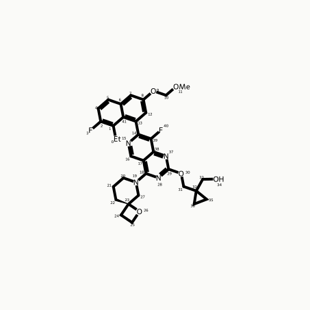 CCc1c(F)ccc2cc(OCOC)cc(-c3ncc4c(N5CCC[C@@]6(CCO6)C5)nc(OCC5(CO)CC5)nc4c3F)c12